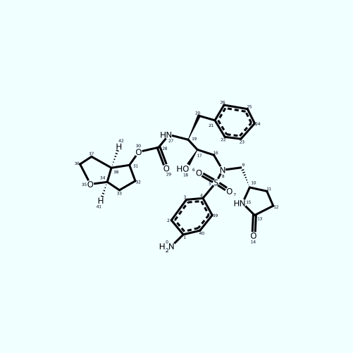 Nc1ccc(S(=O)(=O)N(C[C@@H]2CCC(=O)N2)C[C@@H](O)[C@H](Cc2ccccc2)NC(=O)OC2CC[C@H]3OCC[C@@H]23)cc1